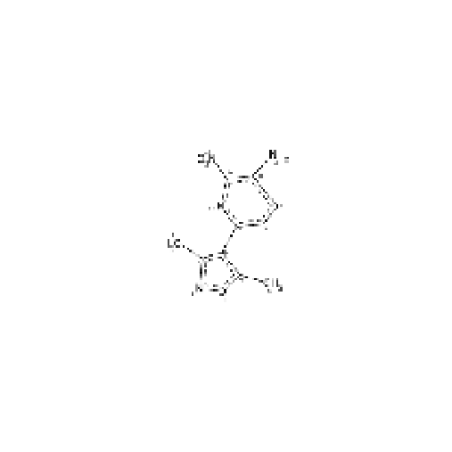 Cc1noc(C)c1-c1ccc(N)c([N+](=O)[O-])n1